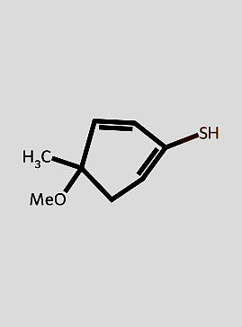 COC1(C)C=CC(S)=CC1